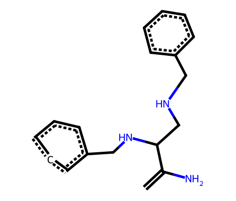 C=C(N)C(CNCc1ccccc1)NCc1ccccc1